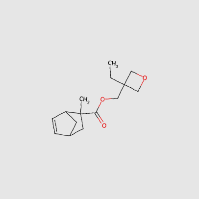 CCC1(COC(=O)C2(C)CC3C=CC2C3)COC1